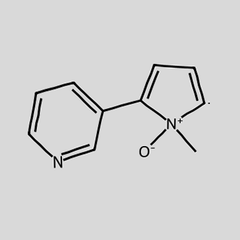 C[N+]1([O-])[C]=CC=C1c1cccnc1